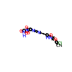 CC1(C)[C@H](NC(=O)c2ccc(C#CC3CN(C4CC5(C4)CN(c4ccc6c(c4)C(=O)N(C4CCC(=O)NC4=O)C6=O)C5)C3)cc2)C(C)(C)[C@H]1Oc1ccc(C#N)c(Cl)c1